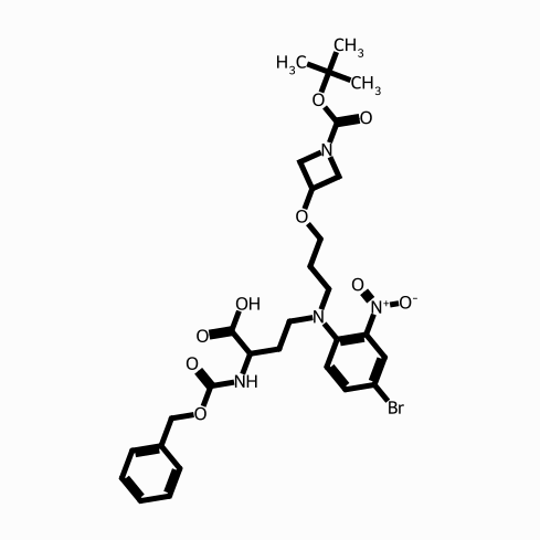 CC(C)(C)OC(=O)N1CC(OCCCN(CCC(NC(=O)OCc2ccccc2)C(=O)O)c2ccc(Br)cc2[N+](=O)[O-])C1